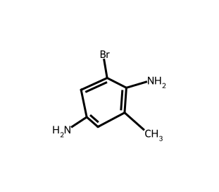 Cc1cc(N)cc(Br)c1N